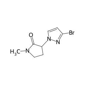 CN1CCC(n2ccc(Br)n2)C1=O